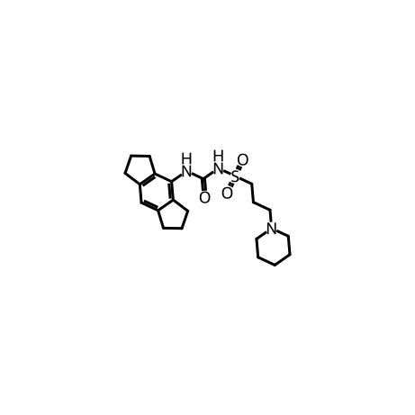 O=C(Nc1c2c(cc3c1CCC3)CCC2)NS(=O)(=O)CCCN1CCCCC1